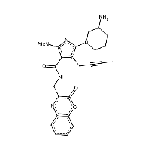 CC#CCn1c(N2CCCC(N)C2)nc(NC)c1C(=O)NCc1nc2ccccc2oc1=O